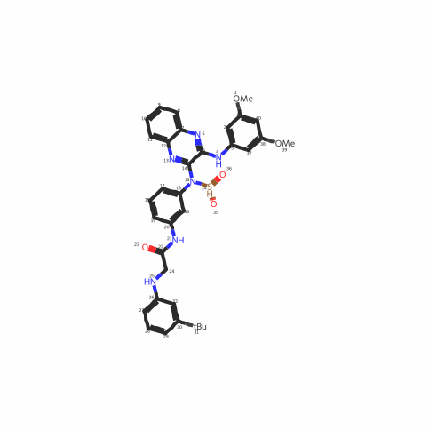 COc1cc(Nc2nc3ccccc3nc2N(c2cccc(NC(=O)CNc3cccc(C(C)(C)C)c3)c2)[SH](=O)=O)cc(OC)c1